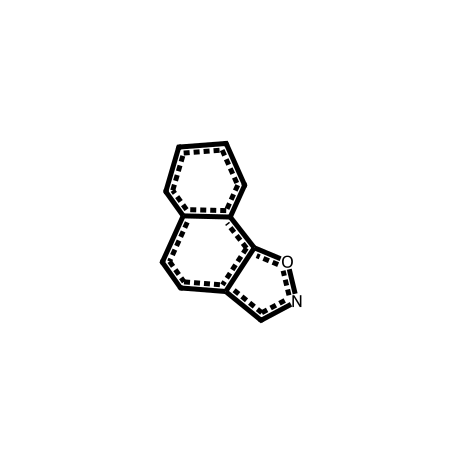 c1ccc2c(c1)ccc1cnoc12